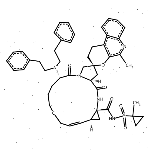 Cc1nc2ccccc2c2c1O[C@]1(CC2)C[C@H]2C(=O)N[C@]3(C(=O)NS(=O)(=O)C4(C)CC4)C[C@H]3/C=C\CCCCC[C@H](N(CCc3ccccc3)CCc3ccccc3)C(=O)N2C1